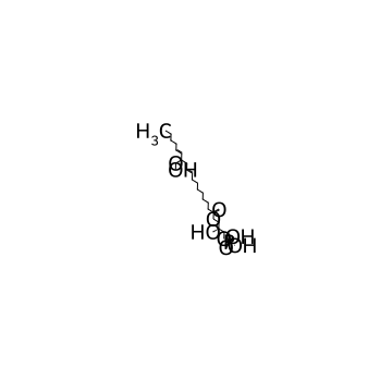 CCCCC=CC(CC=CCCCCCCCC(=O)OC[C@H](O)COP(=O)(O)O)OO